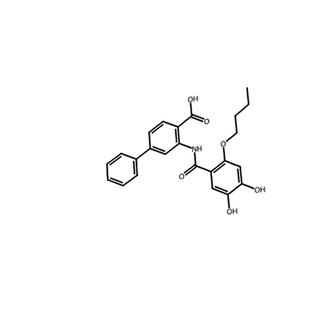 CCCCOc1cc(O)c(O)cc1C(=O)Nc1cc(-c2ccccc2)ccc1C(=O)O